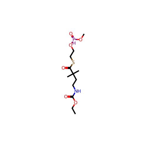 CCOC(=O)NCCC(C)(C)C(=O)SCCO[PH](=O)OC